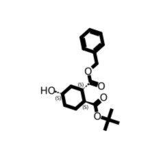 CC(C)(C)OC(=O)[C@H]1CC[C@H](O)C[C@@H]1C(=O)OCc1ccccc1